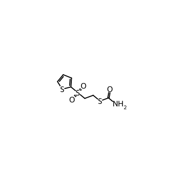 NC(=O)SCCS(=O)(=O)c1cccs1